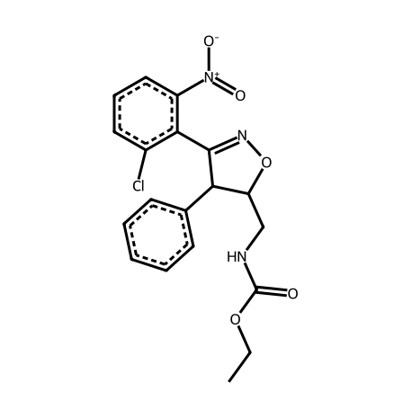 CCOC(=O)NCC1ON=C(c2c(Cl)cccc2[N+](=O)[O-])C1c1ccccc1